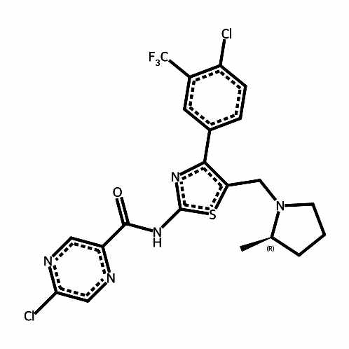 C[C@@H]1CCCN1Cc1sc(NC(=O)c2cnc(Cl)cn2)nc1-c1ccc(Cl)c(C(F)(F)F)c1